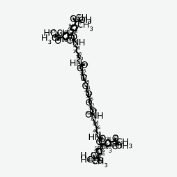 CC(C)(O)C(=O)c1ccc(C(OC(=O)NCCCCCCNC(=O)OCCOCCOCCOCCOCCOC(=O)NCCCCCCNC(=O)OC(c2ccc(C(=O)C(C)(C)O)cc2)c2ccc(C(=O)C(C)(C)O)cc2)c2ccc(C(=O)C(C)(C)O)cc2)cc1